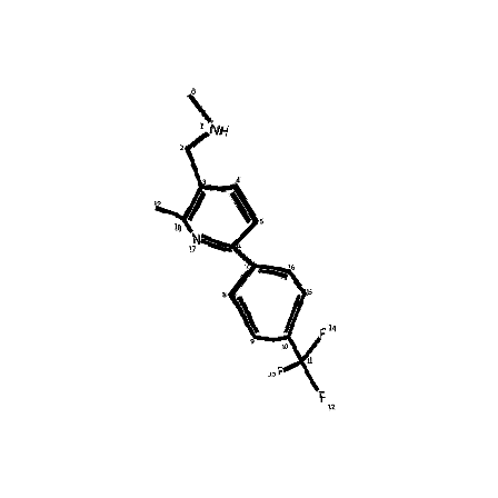 CNCc1ccc(-c2ccc(C(F)(F)F)cc2)nc1C